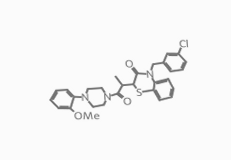 COc1ccccc1N1CCN(C(=O)C(C)C2Sc3ccccc3N(Cc3cccc(Cl)c3)C2=O)CC1